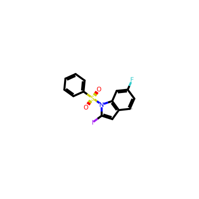 O=S(=O)(c1ccccc1)n1c(I)cc2[c]cc(F)cc21